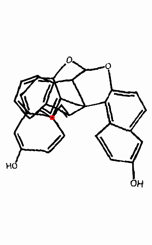 Oc1ccc2c3c(ccc2c1)OC1Oc2ccc4cc(O)ccc4c2C32c3cccc4cccc(c34)C12